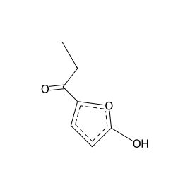 CCC(=O)c1ccc(O)o1